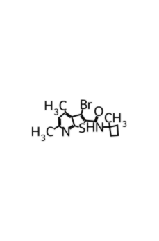 Cc1cc(C)c2c(Br)c(C(=O)NC3(C)CCC3)sc2n1